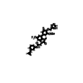 COc1cc(-c2cc(C(F)(F)F)cc3c2n(C)c(=O)n3CC(=O)Nc2cccc(C3CC3)c2)cc(F)c1OCc1nnc[nH]1